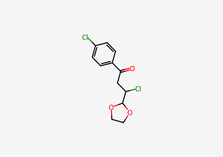 O=C(CC(Cl)C1OCCO1)c1ccc(Cl)cc1